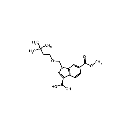 COC(=O)c1ccc2c(B(O)O)nn(COCC[Si](C)(C)C)c2c1